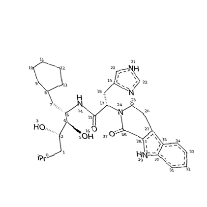 CC(C)C[C@H](O)[C@H](O)[C@H](CC1CCCCC1)NC(=O)[C@H](Cc1c[nH]cn1)N1CCc2c([nH]c3ccccc23)C1=O